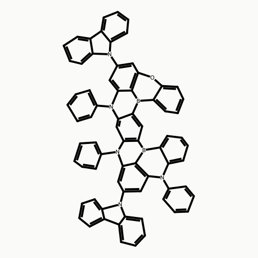 c1ccc(N2c3cc4c(cc3B3c5ccccc5Oc5cc(-n6c7ccccc7c7ccccc76)cc2c53)B2c3ccccc3N(c3ccccc3)c3cc(-n5c6ccccc6c6ccccc65)cc(c32)N4c2ccccc2)cc1